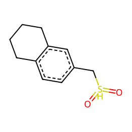 O=[SH](=O)Cc1ccc2c(c1)CCCC2